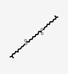 CC(C)CCCCCCCCCOC(=O)CCCCCCCCC(=O)OCCCCCCCCCC(C)C